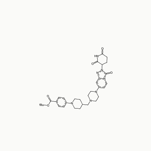 CC(C)(C)OC(=O)c1ccc(N2CCC(CN3CCN(c4ccn5c(=O)n(C6CCC(=O)NC6=O)nc5c4)CC3)CC2)cc1